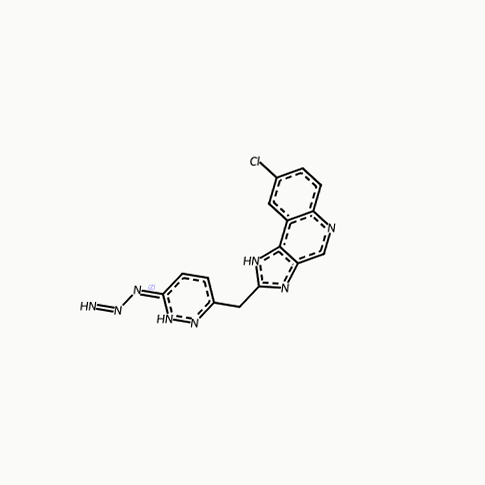 N=N/N=c1/ccc(Cc2nc3cnc4ccc(Cl)cc4c3[nH]2)n[nH]1